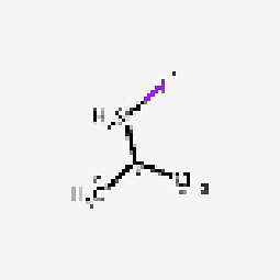 CC(C)[SiH2]I